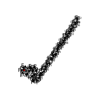 NCC(F)(F)OC(F)(F)OC(F)(F)OC(F)(F)OC(F)(F)OC(F)(F)OC(F)(F)OC(F)(F)OC(F)(F)OC(F)(F)OC(F)(F)OC(F)(F)OC(F)(F)C(F)(F)OC(F)(F)C(F)(F)OC(F)(F)C(F)(F)OC(F)(F)C(F)(F)OC(F)(F)C(F)(F)OC(F)(F)C(F)(F)OC(F)(F)C(F)(F)OC(F)(F)C(F)(F)OC(F)(F)C(F)(F)OC(F)(F)C(F)(F)OC(F)(F)C(F)(F)OC(F)(F)C(F)(F)OC(F)(F)C(F)(F)OC(F)(F)F